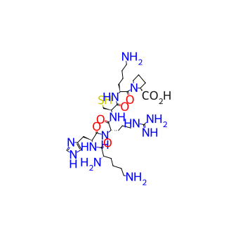 N=C(N)NCCC[C@H](NC(=O)[C@H](Cc1c[nH]cn1)NC(=O)[C@@H](N)CCCCN)C(=O)N[C@@H](CS)C(=O)N[C@@H](CCCCN)C(=O)N1CCC[C@H]1C(=O)O